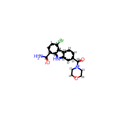 NC(=O)c1ccc(Br)c2c1[nH]c1cc(C(=O)N3CCOCC3)ccc12